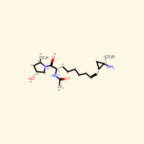 CCOC(=O)[C@@]1(N)C[C@H]1/C=C\CCCCC[C@H](NC(=O)C(F)(F)F)C(=O)N1C[C@H](O)C[C@H]1C(=O)O